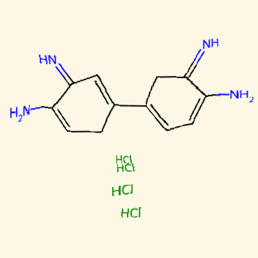 Cl.Cl.Cl.Cl.N=C1C=C(C2=CC=C(N)C(=N)C2)CC=C1N